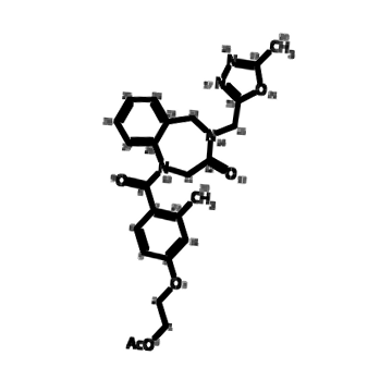 CC(=O)OCCOc1ccc(C(=O)N2CC(=O)N(Cc3nnc(C)o3)Cc3ccccc32)c(C)c1